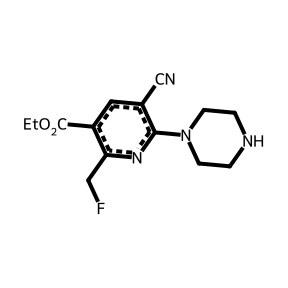 CCOC(=O)c1cc(C#N)c(N2CCNCC2)nc1CF